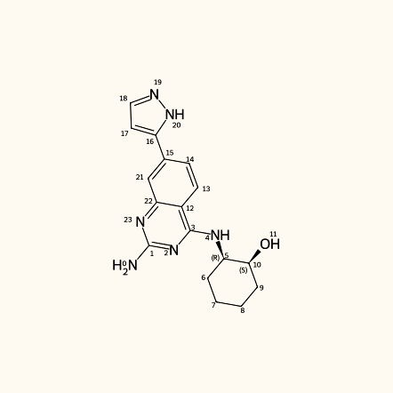 Nc1nc(N[C@@H]2CCCC[C@@H]2O)c2ccc(-c3ccn[nH]3)cc2n1